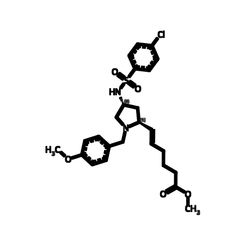 COC(=O)CCCC=C[C@@H]1C[C@@H](NS(=O)(=O)c2ccc(Cl)cc2)CN1Cc1ccc(OC)cc1